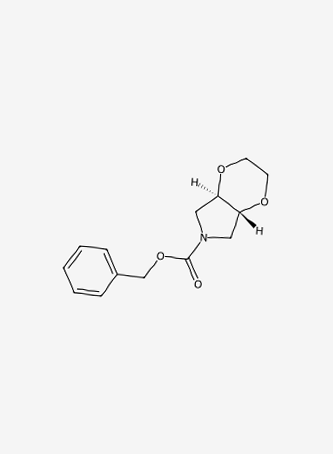 O=C(OCc1ccccc1)N1C[C@H]2OCCO[C@@H]2C1